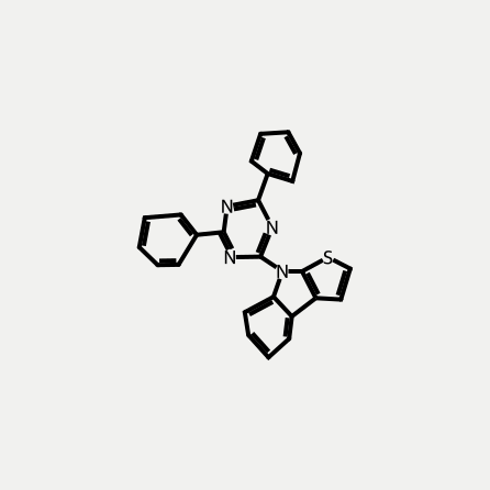 c1ccc(-c2nc(-c3ccccc3)nc(-n3c4ccccc4c4ccsc43)n2)cc1